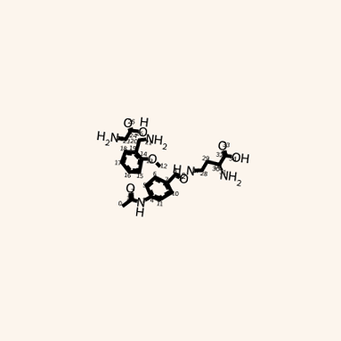 CC(=O)Nc1ccc(C=O)cc1.COc1ccccc1CN.NCC(=O)O.NCC[C@H](N)C(=O)O